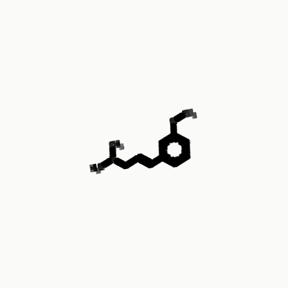 COc1[c]ccc(C=CCN(C)C)c1